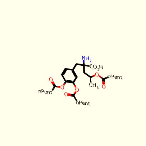 CCCCCC(=O)Oc1ccc(CC(N)(C[C@H](C)OC(=O)CCCCC)C(=O)O)cc1OC(=O)CCCCC